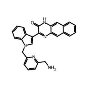 NCc1cccc(Cn2cc(-c3nc4cc5ccccc5cc4[nH]c3=O)c3ccccc32)n1